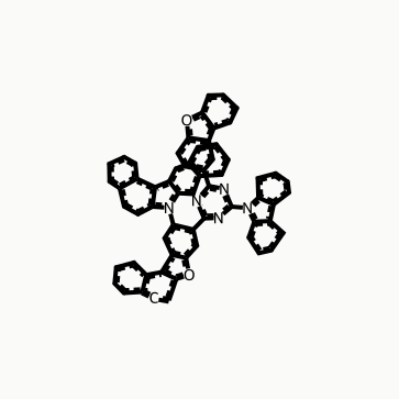 c1ccc2cc3c(cc2c1)c1c2ccccc2ccc1n3-c1cc2c(cc1-c1nc(-c3ccc4oc5ccccc5c4c3)nc(-n3c4ccccc4c4ccccc43)n1)oc1ccc3ccccc3c12